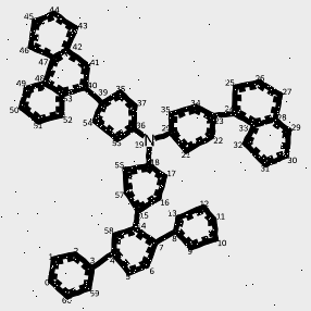 c1ccc(-c2ccc(-c3ccccc3)c(-c3ccc(N(c4ccc(-c5cccc6ccccc56)cc4)c4ccc(-c5cc6ccccc6c6ccccc56)cc4)cc3)c2)cc1